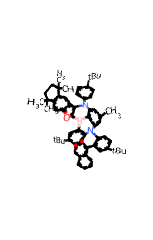 Cc1cc2c3c(c1)N(c1ccc(C(C)(C)C)cc1)c1c(oc4cc5c(cc14)C(C)(C)CCC5(C)C)B3c1cc(C(C)(C)C)ccc1N2c1ccc(C(C)(C)C)cc1-c1cccc2ccccc12